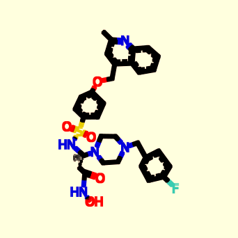 Cc1cc(COc2ccc(S(=O)(=O)N[C@@H](CC(=O)NO)N3CCN(Cc4ccc(F)cc4)CC3)cc2)c2ccccc2n1